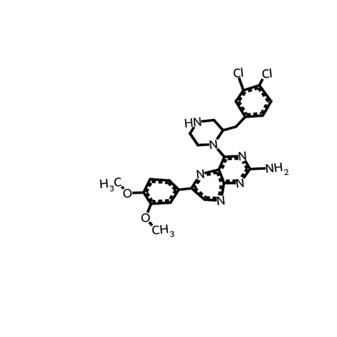 COc1ccc(-c2cnc3nc(N)nc(N4CCNCC4Cc4ccc(Cl)c(Cl)c4)c3n2)cc1OC